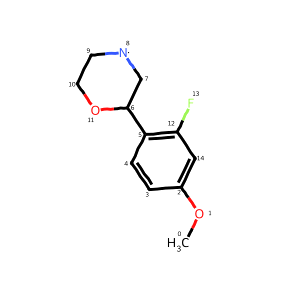 COc1ccc(C2C[N]CCO2)c(F)c1